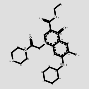 CCOC(=O)c1cn(CC(=O)N2CCOCC2)c2cc(NC3CCCCC3)c(F)cc2c1=O